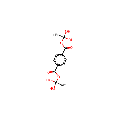 CCCC(O)(O)OC(=O)c1ccc(C(=O)OC(O)(O)CCC)cc1